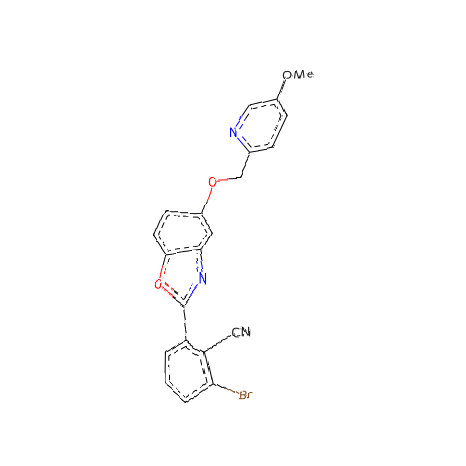 COc1ccc(COc2ccc3oc(-c4cccc(Br)c4C#N)nc3c2)nc1